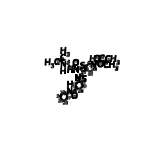 CC(C)NCCC(=O)Nc1sc2c(c1-c1nc3cc(C(=O)Nc4ccccc4)ccc3s1)CCN(C(=O)OC(C)(C)C)C2